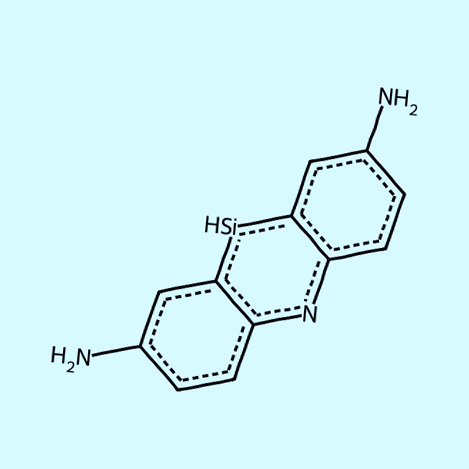 Nc1ccc2nc3ccc(N)cc3[siH]c2c1